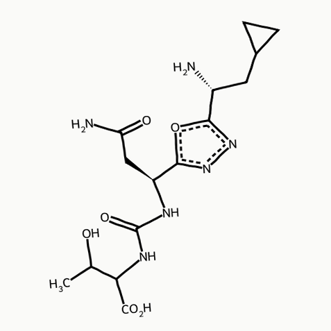 CC(O)C(NC(=O)N[C@@H](CC(N)=O)c1nnc([C@H](N)CC2CC2)o1)C(=O)O